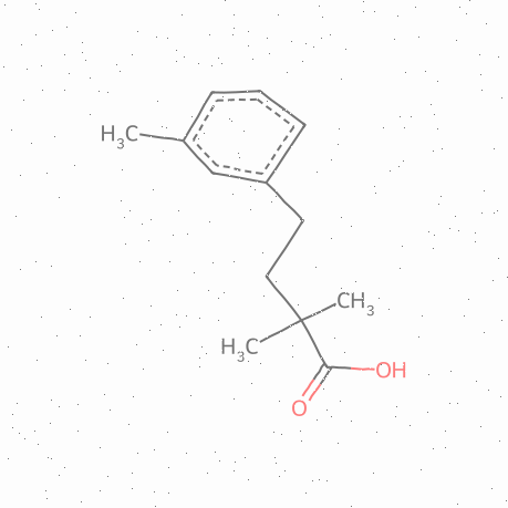 Cc1cccc(CCC(C)(C)C(=O)O)c1